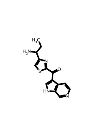 CCC(N)c1csc(C(=O)c2c[nH]c3cnccc23)n1